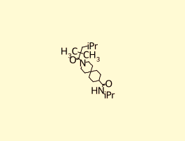 CC(C)CC(C)(C)C(=O)N1CCC2(CCC(C(=O)NC(C)C)CC2)CC1